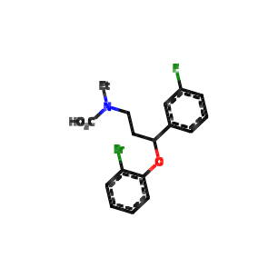 CCN(CCC(Oc1ccccc1Br)c1cccc(F)c1)C(=O)O